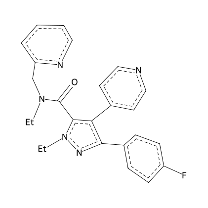 CCN(Cc1ccccn1)C(=O)c1c(-c2ccncc2)c(-c2ccc(F)cc2)nn1CC